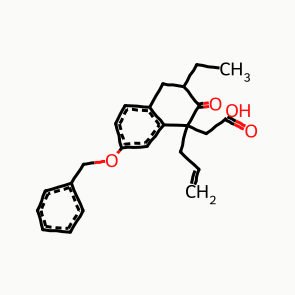 C=CCC1(CC(=O)O)C(=O)C(CC)Cc2ccc(OCc3ccccc3)cc21